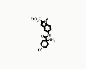 CCOC(=O)c1cc2cc(NC(=O)C3(N)CCN(CC)CC3)ccc2n1C